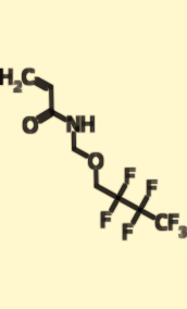 C=CC(=O)NCOCC(F)(F)C(F)(F)C(F)(F)F